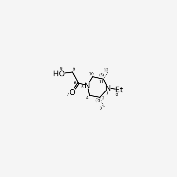 CCN1[C@H](C)CN(C(=O)CO)C[C@@H]1C